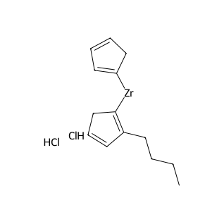 CCCCC1=[C]([Zr][C]2=CC=CC2)CC=C1.Cl.Cl